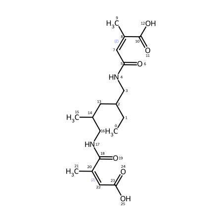 CCC(CNC(=O)/C=C(/C)C(=O)O)CC(C)CNC(=O)/C(C)=C\C(=O)O